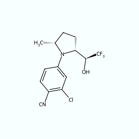 [C-]#[N+]c1ccc(N2[C@H](C)CC[C@@H]2[C@H](O)C(F)(F)F)cc1Cl